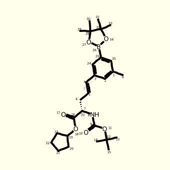 Cc1cc(/C=C/C[C@H](NC(=O)OC(C)(C)C)C(=O)OC2CCCC2)cc(B2OC(C)(C)C(C)(C)O2)c1